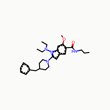 CCCNC(=O)c1cc2cc(N3CCC(Cc4ccccc4)CC3)n(N(CC)CC)c2cc1OC